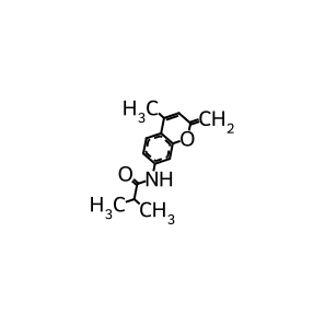 C=C1C=C(C)c2ccc(NC(=O)C(C)C)cc2O1